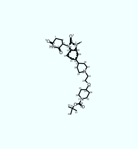 Cn1c(=O)n(C2CCC(=O)NC2=O)c2ccc(C3CCN(CCOC4CCN(C(=O)OC(C)(C)C)CC4)CC3)cc21